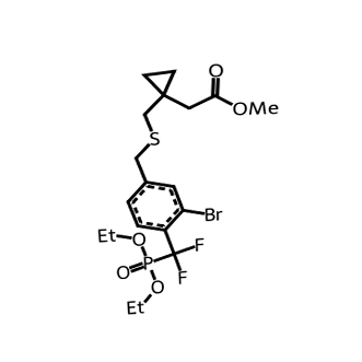 CCOP(=O)(OCC)C(F)(F)c1ccc(CSCC2(CC(=O)OC)CC2)cc1Br